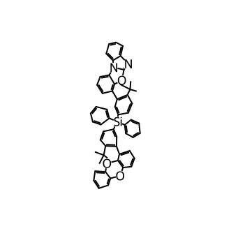 CC(C)(C)c1ccc([Si](c2ccccc2)(c2ccccc2)c2ccc(C(C)(C)C)c(-c3cccc4c3oc3nc5ccccc5n34)c2)cc1-c1cccc2c1Oc1ccccc1O2